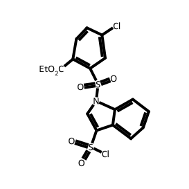 CCOC(=O)c1ccc(Cl)cc1S(=O)(=O)n1cc(S(=O)(=O)Cl)c2ccccc21